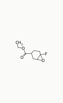 CCOC(=O)C1CCC2(F)OC2C1